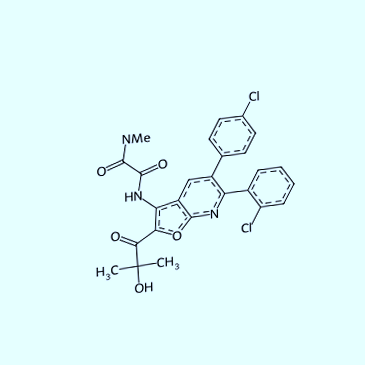 CNC(=O)C(=O)Nc1c(C(=O)C(C)(C)O)oc2nc(-c3ccccc3Cl)c(-c3ccc(Cl)cc3)cc12